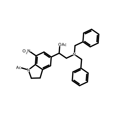 CC(=O)OC(CN(Cc1ccccc1)Cc1ccccc1)c1cc2c(c([N+](=O)[O-])c1)N(C(C)=O)CC2